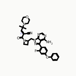 CC(C)(/C=C(\C#N)C(=O)N1CCC1Cn1nc(-c2ccc(Oc3ccccc3)cc2F)c2c(N)ncnc21)N1CCOCC1